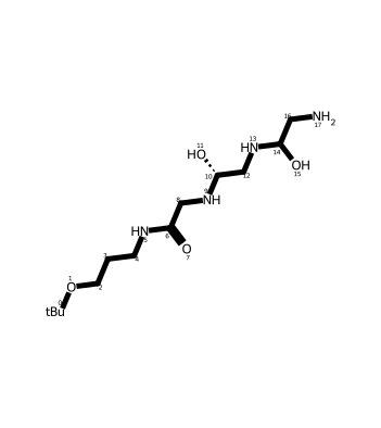 CC(C)(C)OCCCNC(=O)CN[C@H](O)CNC(O)CN